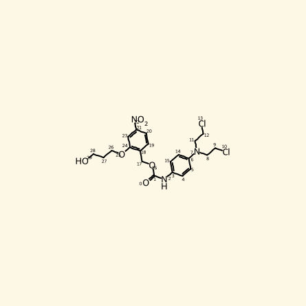 O=C(Nc1ccc(N(CCCl)CCCl)cc1)OCc1ccc([N+](=O)[O-])cc1OCCCO